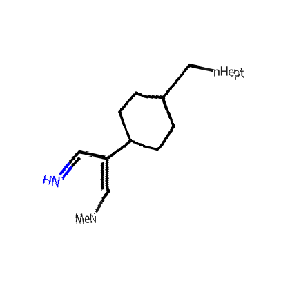 CCCCCCCCC1CCC(/C(C=N)=C/NC)CC1